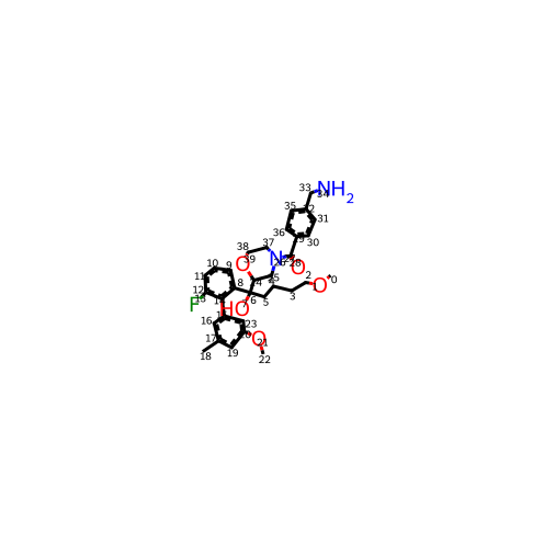 COCCCCC(O)(c1cccc(F)c1-c1cc(C)cc(OC)c1)C1CN(C(=O)c2ccc(CN)cc2)CCO1